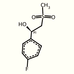 CS(=O)(=O)C[C@H](O)c1ccc(F)cc1